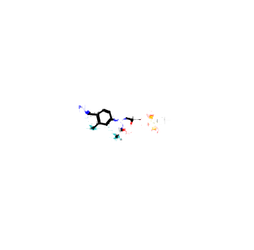 CS(=O)(=O)OC[C@@H]1CN(c2ccc(C#N)c(C(F)(F)F)c2)[C@H](C(F)(F)F)O1